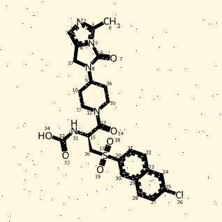 Cc1ncc2n1C(=O)N(C1CCN(C(=O)[C@@H](CS(=O)(=O)c3ccc4cc(Cl)ccc4c3)NC(=O)O)CC1)C2